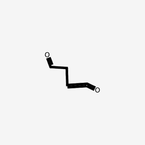 O=C=CCC=O